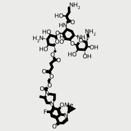 COc1c(N2CCN(C(=O)OCOC(=O)CCC(=O)OC[C@H]3O[C@H](O[C@@H]4[C@@H](O)[C@H](O[C@H]5O[C@H](CN)[C@@H](O)[C@H](O)[C@H]5O)[C@@H](N)C[C@H]4NC(=O)[C@@H](O)CCN)[C@H](O)[C@@H](N)[C@@H]3O)C(C)C2)c(F)cc2c(=O)ccn(C3CC3)c12